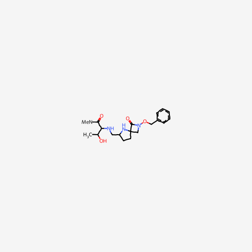 CNC(=O)C(NCC1CCC2(CN(OCc3ccccc3)C2=O)N1)C(C)O